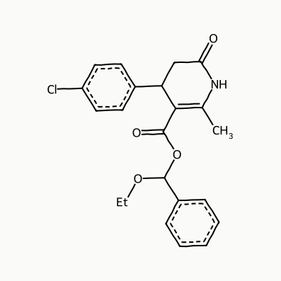 CCOC(OC(=O)C1=C(C)NC(=O)CC1c1ccc(Cl)cc1)c1ccccc1